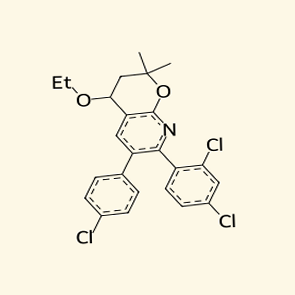 CCOC1CC(C)(C)Oc2nc(-c3ccc(Cl)cc3Cl)c(-c3ccc(Cl)cc3)cc21